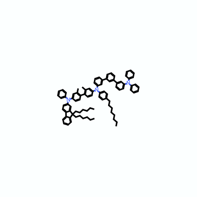 CCCCCCCCc1ccc(N(c2cccc(-c3cccc(-c4cccc(N(c5ccccc5)c5ccccc5)c4)c3)c2)c2ccc(-c3ccc(N(c4ccccc4)c4ccc5c(c4)C(CCCCCC)(CCCCCC)c4ccccc4-5)cc3C)c(C)c2)cc1